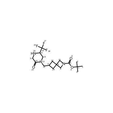 CC(C)(C)OC(=O)N1CC2(CC(CN3CC(C(F)(F)F)NCC3=O)C2)C1